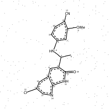 COc1cc(NC(C)c2cc3cc(Cl)cnc3[nH]c2=O)ccc1C#N